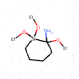 CCOC1(N)CCCC[Si]1(OCC)OCC